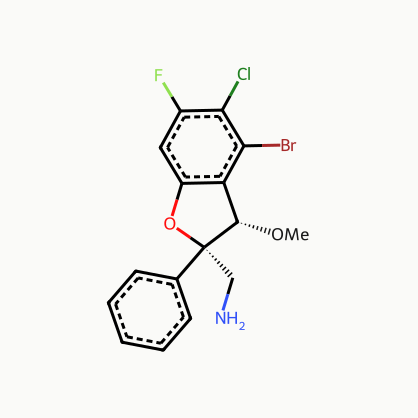 CO[C@H]1c2c(cc(F)c(Cl)c2Br)O[C@]1(CN)c1ccccc1